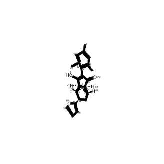 Cc1cc(C)c(C2=C(O)[C@@H]3[C@@H]4O[C@@H](C[C@H]4c4ccco4)[C@@H]3C2=O)c(C)c1